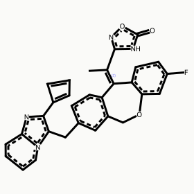 C/C(=C1\c2ccc(Cc3c(C4=CC=C4)nc4ccccn34)cc2COc2cc(F)ccc21)c1noc(=O)[nH]1